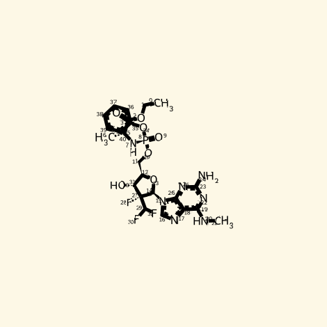 CCOC(=O)[C@@H](C)N[P@@](=O)(OC[C@H]1O[C@@H](n2cnc3c(NC)nc(N)nc32)[C@@](F)(C(F)F)[C@@H]1O)Oc1ccccc1